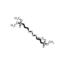 COP(=S)(CCCSSSSCCCP(=S)(OC)OC)OC